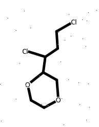 ClCCC(Cl)C1COCCO1